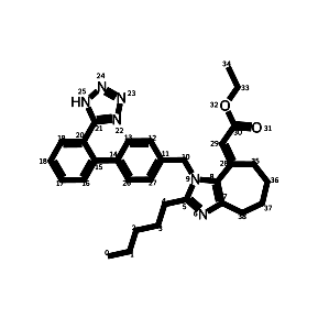 CCCCCc1nc2c(n1Cc1ccc(-c3ccccc3-c3nnn[nH]3)cc1)C(=CC(=O)OCC)CCCC2